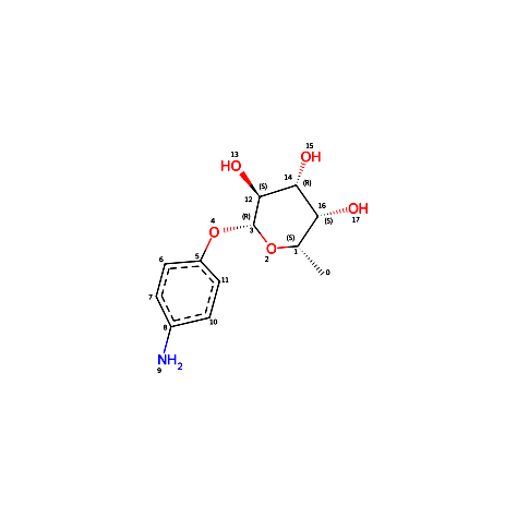 C[C@@H]1O[C@H](Oc2ccc(N)cc2)[C@@H](O)[C@H](O)[C@@H]1O